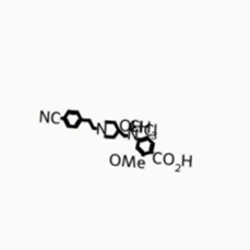 COc1cc(N(C)CC2(O)CCN(CCc3ccc(C#N)cc3)CC2)c(Cl)cc1C(=O)O